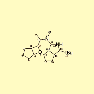 CC(C1OC2CCCC21)N(C)C1NC(C(C)(C)C)C2CCCC21